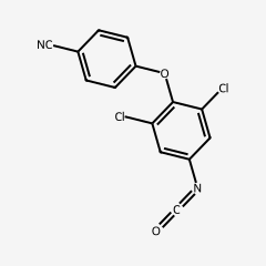 N#Cc1ccc(Oc2c(Cl)cc(N=C=O)cc2Cl)cc1